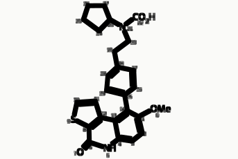 COc1ccc2[nH]c(=O)c3sccc3c2c1-c1ccc(CCN(C(=O)O)C2CCCC2)cc1